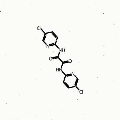 O=C(Nc1ccc(Cl)cn1)C(=O)Nc1ccc(Cl)cn1